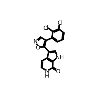 O=c1[nH]ccc2c(-c3oncc3-c3cccc(Cl)c3Cl)c[nH]c12